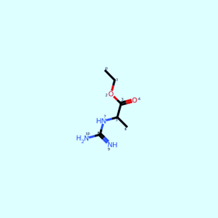 CCOC(=O)C(C)NC(=N)N